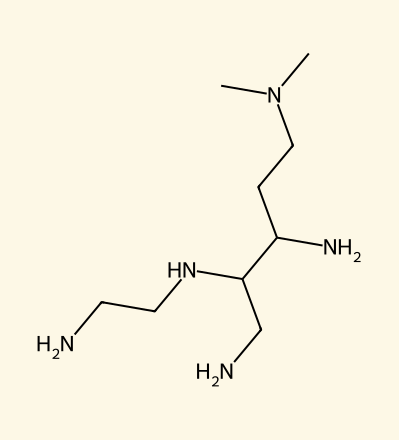 CN(C)CCC(N)C(CN)NCCN